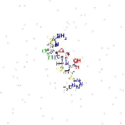 Cn1nnnc1SCC1=C(C(=O)O)N2C(=O)C(NC(=O)C(=C(Cl)Cl)c3csc(N)n3)[C@H]2SC1